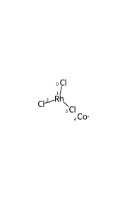 [Cl][Rh]([Cl])[Cl].[Co]